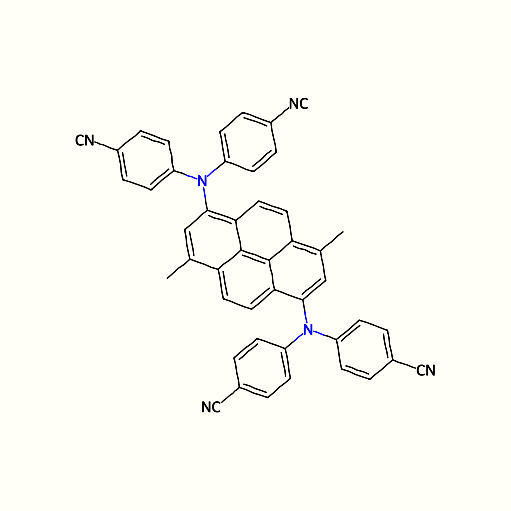 [C-]#[N+]c1ccc(N(c2ccc([N+]#[C-])cc2)c2cc(C)c3ccc4c(N(c5ccc(C#N)cc5)c5ccc(C#N)cc5)cc(C)c5ccc2c3c54)cc1